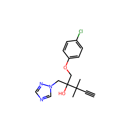 C#CC(C)(C)C(O)(COc1ccc(Cl)cc1)Cn1cncn1